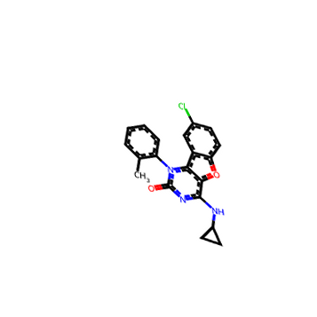 Cc1ccccc1-n1c(=O)nc(NC2CC2)c2oc3ccc(Cl)cc3c21